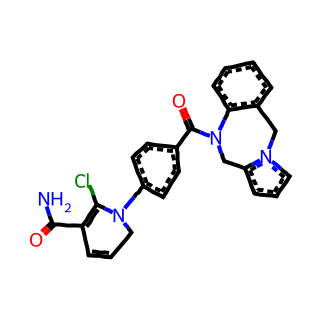 NC(=O)C1=C(Cl)N(c2ccc(C(=O)N3Cc4cccn4Cc4ccccc43)cc2)CC=C1